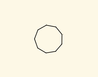 [CH]1C[CH]CCCCCC1